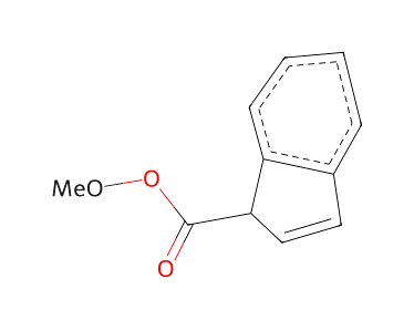 COOC(=O)C1C=Cc2ccccc21